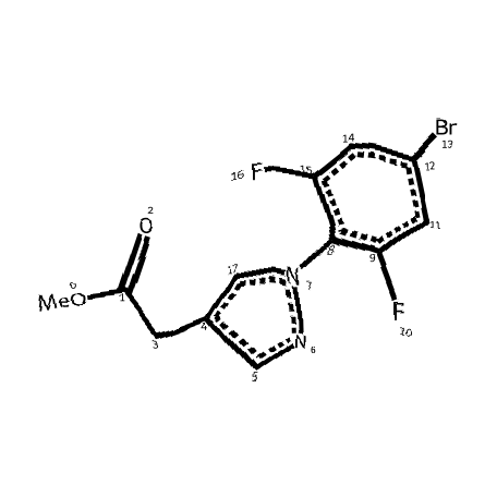 COC(=O)Cc1cnn(-c2c(F)cc(Br)cc2F)c1